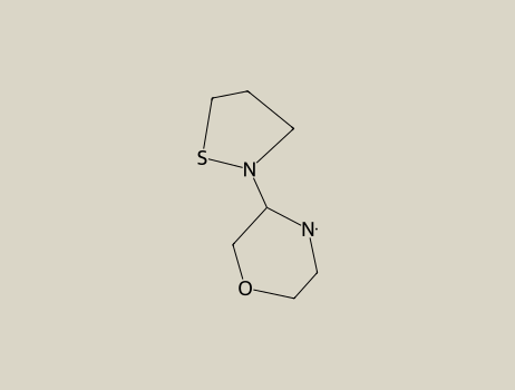 C1CSN(C2COCC[N]2)C1